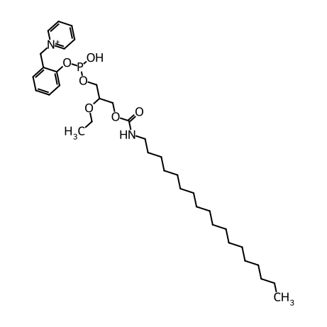 CCCCCCCCCCCCCCCCCCNC(=O)OCC(COP(O)Oc1ccccc1C[n+]1ccccc1)OCC